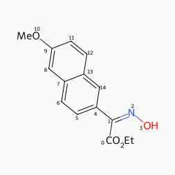 CCOC(=O)C(=NO)c1ccc2cc(OC)ccc2c1